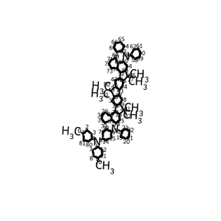 Cc1ccc(N(c2ccc(C)cc2)c2ccc(N(c3ccccc3)c3cc4c(c5ccccc35)-c3cc5c(cc3C4(C)C)-c3cc4c(cc3C5(C)C)-c3c(cc(N(c5ccccc5)c5ccccc5)c5ccccc35)C4(C)C)cc2)cc1